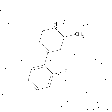 CC1CC(c2ccccc2F)=CCN1